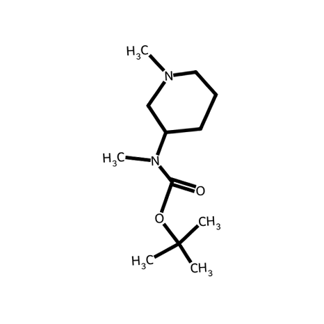 CN1CCCC(N(C)C(=O)OC(C)(C)C)C1